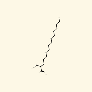 CCCCCCCCCCCCCCC(CI)C(=O)O